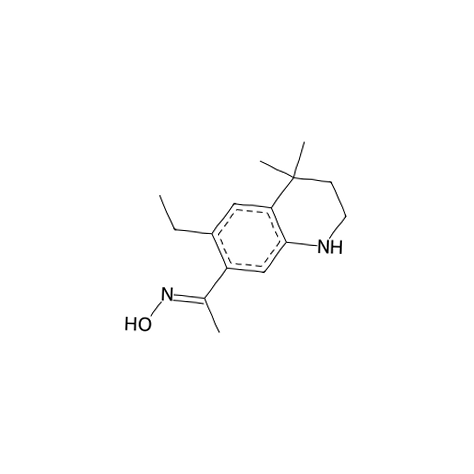 CCc1cc2c(cc1C(C)=NO)NCCC2(C)C